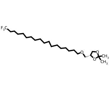 CC1(C)OC[C@@H](COCCCCCCCCCCCCCCCCCC(F)(F)F)O1